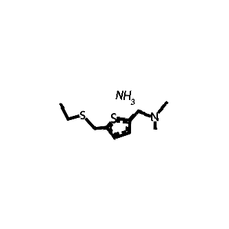 CCSCc1ccc(CN(C)C)s1.N